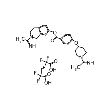 CC(=N)N1CCC(Oc2ccc(C(=O)Oc3ccc4c(c3)CN(C(C)=N)CC4)cc2)CC1.O=C(O)C(F)(F)F.O=C(O)C(F)(F)F